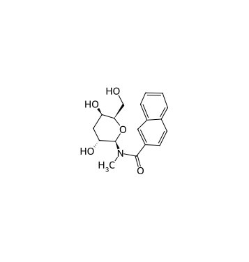 CN(C(=O)c1ccc2ccccc2c1)[C@@H]1O[C@H](CO)[C@H](O)C[C@H]1O